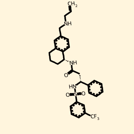 C=CCNCc1ccc2c(c1)CCC[C@H]2NC(=O)C[C@@H](NS(=O)(=O)c1cccc(C(F)(F)F)c1)c1ccccc1